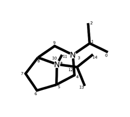 CC(C)N1CC2CCC(C1)[N+]2(C)C(C)C